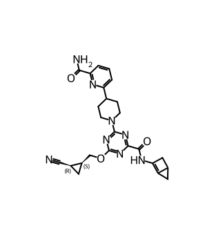 N#C[C@@H]1C[C@@H]1COc1nc(C(=O)NC2=C3CC3C2)nc(N2CCC(c3cccc(C(N)=O)n3)CC2)n1